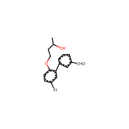 CCc1ccc(OCCC(C)O)c(-c2cccc(C=O)c2)c1